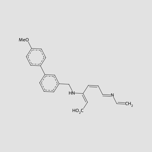 C=C/N=C/C=C\C(=C\C(=O)O)NCc1cccc(-c2ccc(OC)cc2)c1